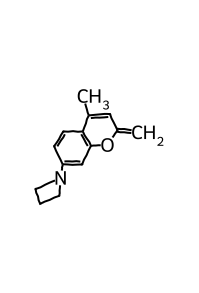 C=C1C=C(C)c2ccc(N3CCC3)cc2O1